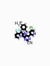 CC(F)(c1ncccc1F)c1cc2nc(C#N)nc(-c3cncc(Cl)c3)c2n1C[C@H]1CC[C@H](C)CC1